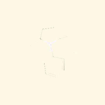 CC1CCC(=O)N1c1ccccc1O